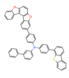 c1ccc(-c2cccc(N(c3ccc(-c4ccc5c(c4)oc4ccc6oc7ccccc7c6c45)cc3)c3ccc(-c4cccc5c4sc4ccccc45)cc3)c2)cc1